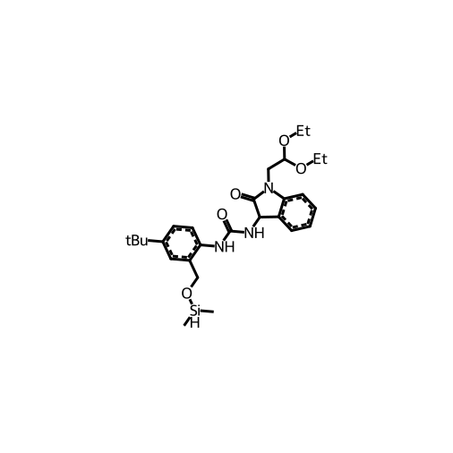 CCOC(CN1C(=O)C(NC(=O)Nc2ccc(C(C)(C)C)cc2CO[SiH](C)C)c2ccccc21)OCC